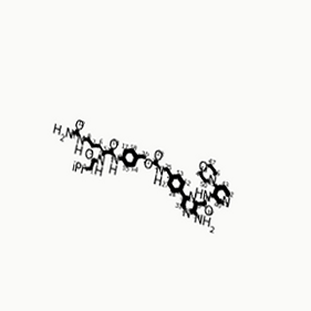 CC(C)CC(=O)N[C@@H](CCCNC(N)=O)C(=O)Nc1ccc(COC(=O)NCc2ccc(-c3cnc(N)c(C(=O)Nc4cnccc4N4CCOCC4)n3)cc2)cc1